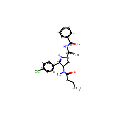 CCN(C(=O)CCC(=O)O)C1CN(C(=S)NC(=O)c2ccccc2)N=C1c1ccc(Cl)cc1